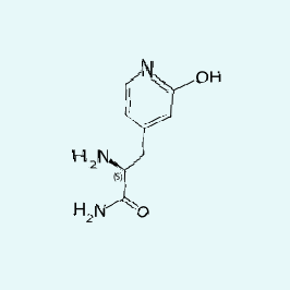 NC(=O)[C@@H](N)Cc1ccnc(O)c1